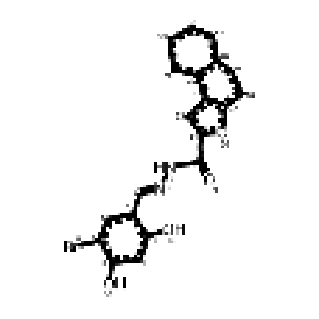 O=C(N/N=C/c1cc(Br)c(O)cc1O)c1cc2c(ccc3ccccc32)o1